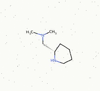 CN(C)C[C@@H]1CCCCN1